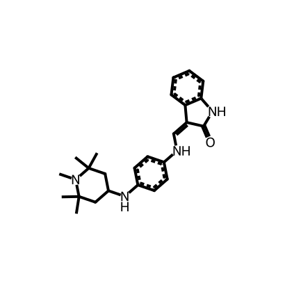 CN1C(C)(C)CC(Nc2ccc(N/C=C3\C(=O)Nc4ccccc43)cc2)CC1(C)C